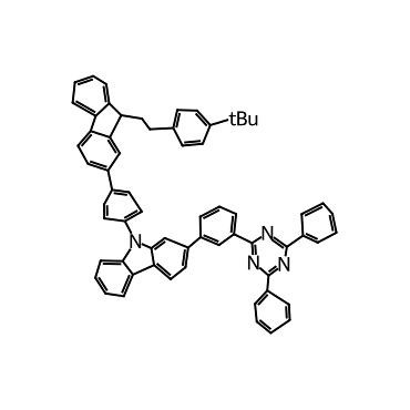 CC(C)(C)c1ccc(CCC2c3ccccc3-c3ccc(-c4ccc(-n5c6ccccc6c6ccc(-c7cccc(-c8nc(-c9ccccc9)nc(-c9ccccc9)n8)c7)cc65)cc4)cc32)cc1